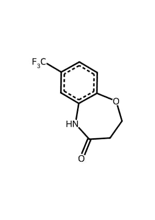 O=C1CCOc2ccc(C(F)(F)F)cc2N1